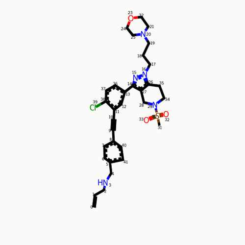 C=CCNCc1ccc(C#Cc2cc(-c3nn(CCCN4CCOCC4)c4c3CN(S(C)(=O)=O)CC4)ccc2Cl)cc1